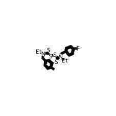 CCN(Cc1ccc(C)cc1)C(=S)SSC(=S)N(CC)Cc1ccc(F)cc1